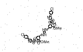 COC(=O)c1cc(CN[C@H]2C[C@@H](NCc3ccc(NS(=O)(=O)c4cnn(-c5ccc(Cl)cc5)c4)c(C(=O)OC)c3)C2)ccc1NS(=O)(=O)c1cnn(-c2ccc(Cl)cc2)c1